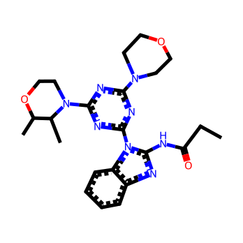 CCC(=O)Nc1nc2ccccc2n1-c1nc(N2CCOCC2)nc(N2CCOC(C)C2C)n1